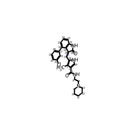 Cc1c(C(=O)NCCN2CCCCC2)c[nH]c1/C=C1\C(=O)Nc2cccc(-c3cccc(Cl)c3)c21